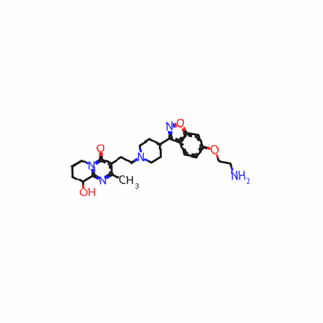 Cc1nc2n(c(=O)c1CCN1CCC(c3noc4cc(OCCN)ccc34)CC1)CCCC2O